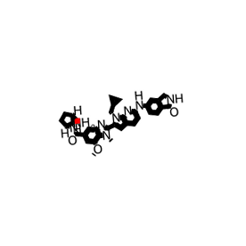 COc1cc(C(=O)N2C[C@H]3CC[C@@H]2[C@@H]3N)cc2nc(-c3cc4ccc(Nc5ccc6c(c5)CNC6=O)nc4n3CC3CC3)n(C)c12